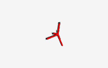 CCCCCCCCCCCCCCCCC[PH](CCCCCCC)(CCCCCCCCCCCCCCCCC)CCCCCCCCCCCCCCCCC